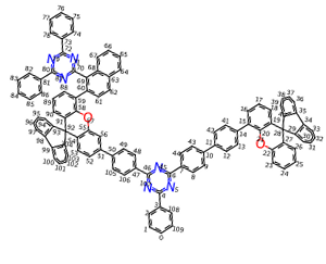 c1ccc(-c2nc(-c3ccc(-c4ccc(-c5cccc6c5Oc5ccccc5C65c6ccccc6-c6ccccc65)cc4)cc3)nc(-c3ccc(-c4ccc5c(c4)Oc4c(-c6ccc7ccccc7c6-c6nc(-c7ccccc7)nc(-c7ccccc7)n6)cccc4C54c5ccccc5-c5ccccc54)cc3)n2)cc1